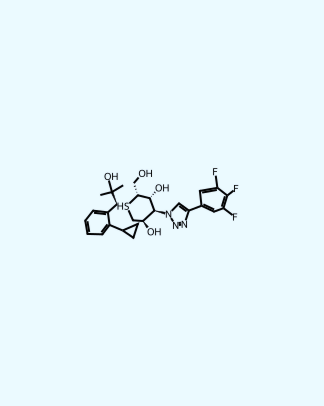 CC(C)(O)[C@H](c1ccccc1C1CC1)[SH]1C[C@H](O)[C@H](n2cc(-c3cc(F)c(F)c(F)c3)nn2)[C@@H](O)[C@H]1CO